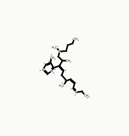 CCCCN(C)CC(C)/C(=C/CC(C)/C=C\C=N/CC)c1ncncc1C